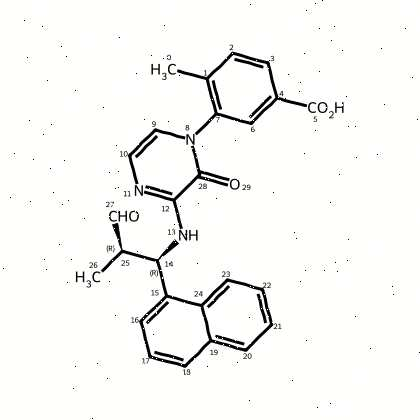 Cc1ccc(C(=O)O)cc1-n1ccnc(N[C@@H](c2cccc3ccccc23)[C@@H](C)C=O)c1=O